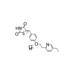 CCc1ccc(CCOc2ccc(/C=C3\SC(=O)NC3=O)cc2)nc1.[Cl-].[H+]